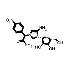 NC(=O)C(c1ccc([N+](=O)[O-])cc1)N1C=C(N)N([C@@H]2O[C@H](CO)[C@@H](O)[C@H]2O)C1